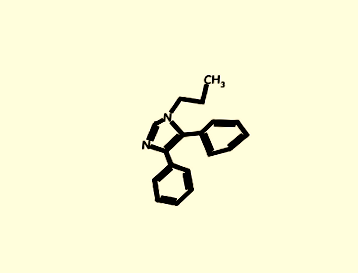 CCCn1[c]nc(-c2ccccc2)c1-c1ccccc1